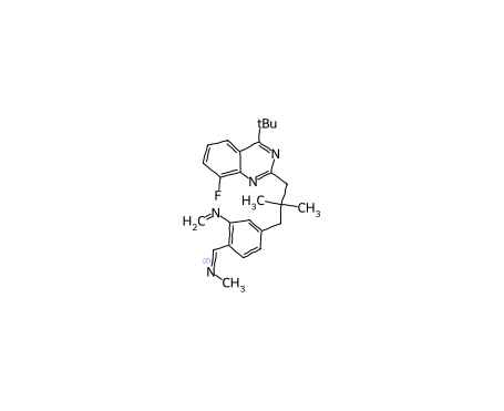 C=Nc1cc(CC(C)(C)Cc2nc(C(C)(C)C)c3cccc(F)c3n2)ccc1/C=N\C